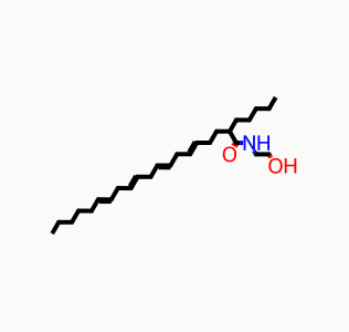 CCCCCC=CCC=CCC=CCC=CCCC(CCCCC)C(=O)NCCO